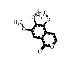 COc1cc2c(=O)occc2c(OC)c1OC